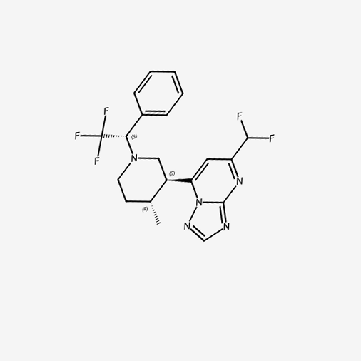 C[C@@H]1CCN([C@@H](c2ccccc2)C(F)(F)F)C[C@H]1c1cc(C(F)F)nc2ncnn12